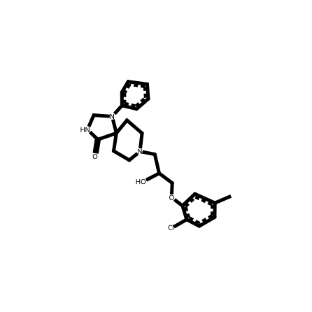 Cc1ccc(Cl)c(OCC(O)CN2CCC3(CC2)C(=O)NCN3c2ccccc2)c1